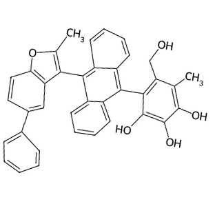 Cc1oc2ccc(-c3ccccc3)cc2c1-c1c2ccccc2c(-c2c(O)c(O)c(O)c(C)c2CO)c2ccccc12